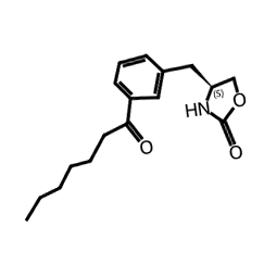 CCCCCCC(=O)c1cccc(C[C@H]2COC(=O)N2)c1